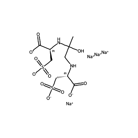 CC(O)(CN[C@@H](CS(=O)(=O)[O-])C(=O)[O-])N[C@@H](CS(=O)(=O)[O-])C(=O)[O-].[Na+].[Na+].[Na+].[Na+]